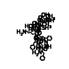 C[C@@H](O)[C@H](NC(=O)[C@@H](NC(=O)[C@@H](NC(=O)[C@H](CCCCN)NC(=O)[C@@H](Cc1c[nH]c2ccccc12)NC(=O)[C@H](Cc1ccccc1)NC(=O)[C@H](CS)NC(=O)[C@H](N)Cc1ccccc1)[C@@H](C)O)C(C)(C)S)C(=O)O